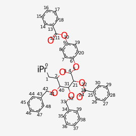 CC(C)CC1OC(Oc2ccc(OC(=O)c3ccccc3)cc2)C(OC(=O)c2ccccc2)C(OCc2ccccc2)C1OCc1ccccc1